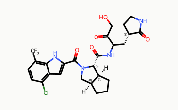 O=C(CO)C(C[C@@H]1CCNC1=O)NC(=O)[C@@H]1[C@H]2CCC[C@H]2CN1C(=O)c1cc2c(Cl)ccc(C(F)(F)F)c2[nH]1